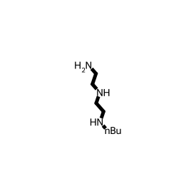 CCCCNCCNCCN